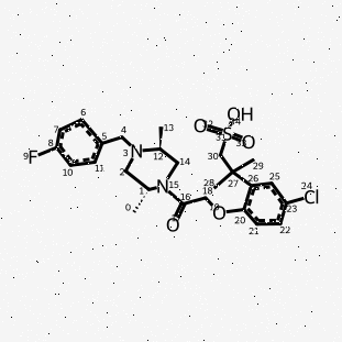 C[C@@H]1CN(Cc2ccc(F)cc2)[C@@H](C)CN1C(=O)COc1ccc(Cl)cc1C(C)(C)CS(=O)(=O)O